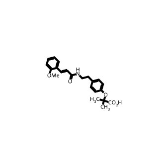 COc1ccccc1C=CC(=O)NCCc1ccc(OC(C)(C)C(=O)O)cc1